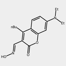 CCCCc1c(/C=N/O)c(=O)oc2cc(N(CC)CC)ccc12